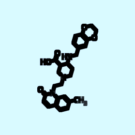 Cc1ccc2ccc(=O)n(CCN3CCC(NCc4ccc5c(c4)OCCO5)C(C(=O)O)C3)c2c1